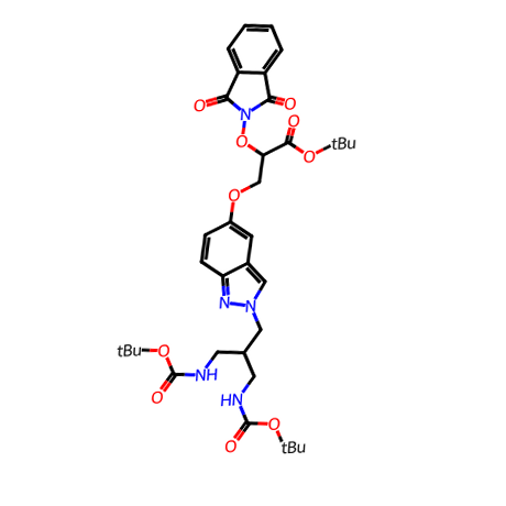 CC(C)(C)OC(=O)NCC(CNC(=O)OC(C)(C)C)Cn1cc2cc(OCC(ON3C(=O)c4ccccc4C3=O)C(=O)OC(C)(C)C)ccc2n1